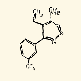 C=Cc1c(OC)cnnc1-c1cccc(C(F)(F)F)c1